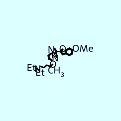 CCN(CC)CCCC(C)Oc1ccc2ncc(-c3cc4ccc(OC)cc4o3)n2n1